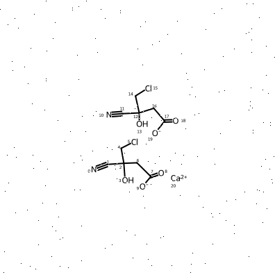 N#CC(O)(CCl)CC(=O)[O-].N#CC(O)(CCl)CC(=O)[O-].[Ca+2]